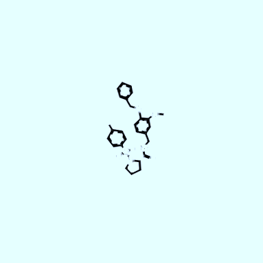 COc1cc(CNC(=O)[C@@H]2CCCN2S(=O)(=O)c2ccc(C)cc2)ccc1OCc1ccccc1